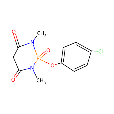 CN1C(=O)CC(=O)N(C)P1(=O)Oc1ccc(Cl)cc1